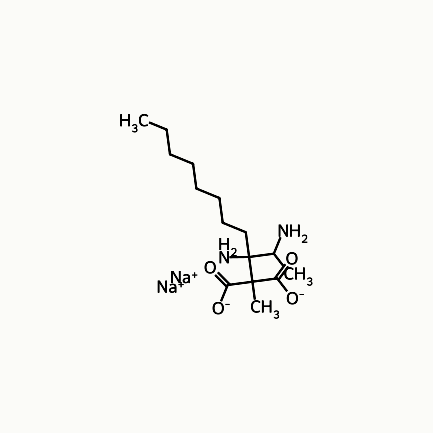 CCCCCCCCC(N)(C(C)N)C(C)(C(=O)[O-])C(=O)[O-].[Na+].[Na+]